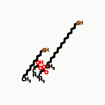 CCC(=O)O.CCC(=O)O.CCCCCCCCCCCCCCCCCCS.CCCCCCCCCCCCS